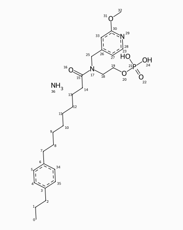 CCCc1ccc(CCCCCCCCC(=O)N(CCOP(=O)(O)O)Cc2ccnc(OC)c2)cc1.N